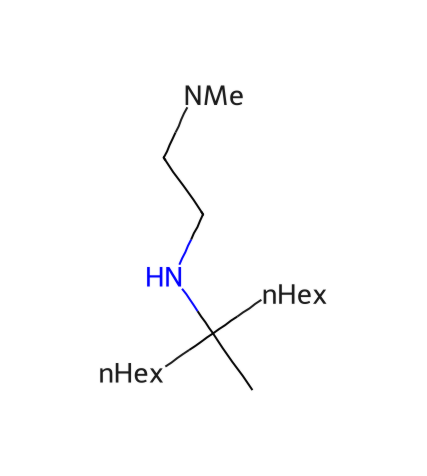 CCCCCCC(C)(CCCCCC)NCCNC